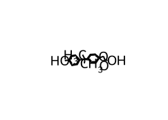 CC(C)(c1ccc(O)cc1)c1ccc(OC(=O)O)cc1